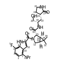 CC(C)c1ccc(F)c2[nH]c(C(=O)N3C[C@H]4[C@@H]([C@H]3C(=O)N[C@H](CO)C[C@@H]3CCNC3=O)C4(C)C)cc12